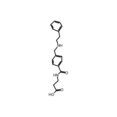 O=C(O)CCNC(=O)c1ccc(CNCCc2ccccc2)cc1